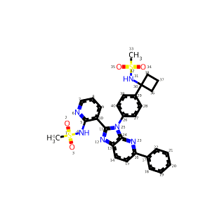 CS(=O)(=O)Nc1ncccc1-c1nc2ccc(-c3ccccc3)nc2n1-c1ccc(C2(NS(C)(=O)=O)CCC2)cc1